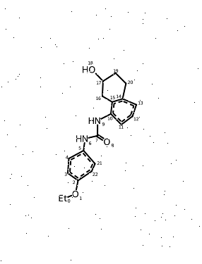 CCOc1ccc(NC(=O)Nc2cccc3c2CC(O)CC3)cc1